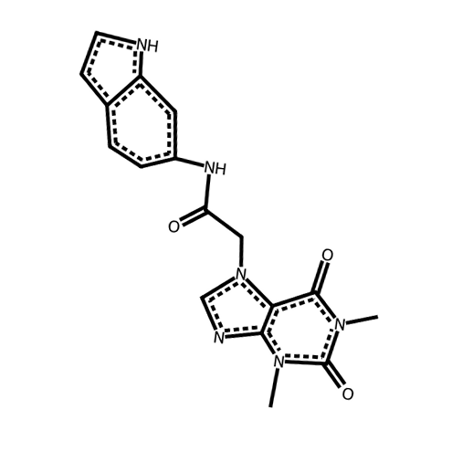 Cn1c(=O)c2c(ncn2CC(=O)Nc2ccc3cc[nH]c3c2)n(C)c1=O